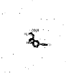 N[C@@H](Cc1c[nH]c2ccc(C#CO)cc12)C(=O)O